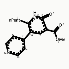 CCCCCc1[nH]c(=O)c(C(=O)OC)cc1-c1ccncc1